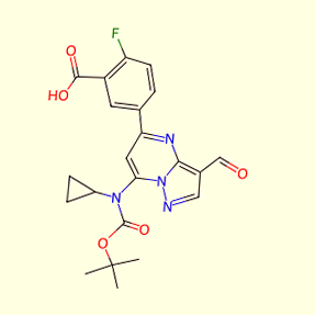 CC(C)(C)OC(=O)N(c1cc(-c2ccc(F)c(C(=O)O)c2)nc2c(C=O)cnn12)C1CC1